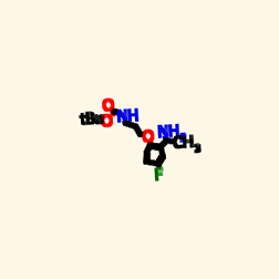 CC(N)c1cc(F)ccc1OCCCNC(=O)OC(C)(C)C